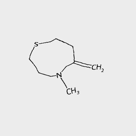 C=C1CCSCCN1C